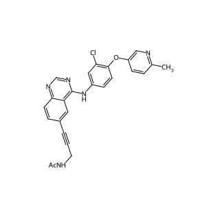 CC(=O)NCC#Cc1ccc2ncnc(Nc3ccc(Oc4ccc(C)nc4)c(Cl)c3)c2c1